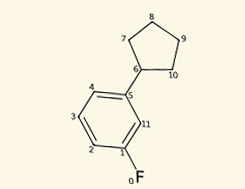 Fc1cccc(C2CCCC2)c1